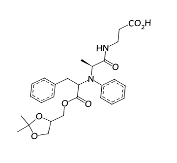 C[C@@H](C(=O)NCCC(=O)O)N(c1ccccc1)C(Cc1ccccc1)C(=O)OCC1COC(C)(C)O1